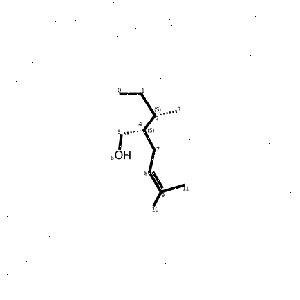 CC[C@H](C)[C@@H](CO)CC=C(C)C